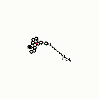 C=CC(=O)OCCCCCCCCCCCOc1ccc(-c2ccc(C(=O)Oc3c(-c4c(-c5ccccc5)cc5ccc6ccccc6c5c4O)c(-c4ccccc4)cc4ccc5ccccc5c34)cc2)cc1